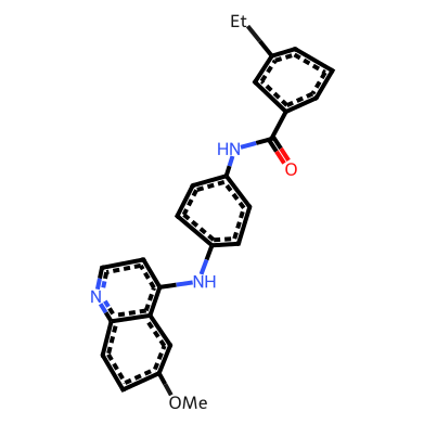 CCc1cccc(C(=O)Nc2ccc(Nc3ccnc4ccc(OC)cc34)cc2)c1